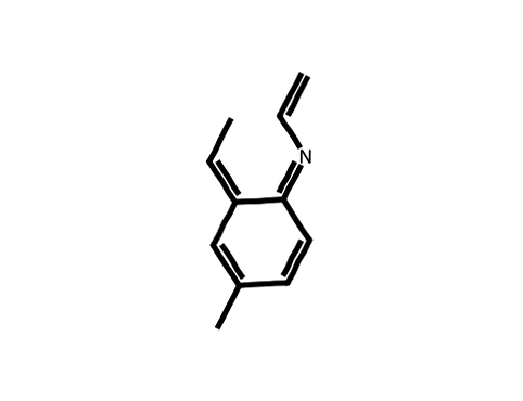 C=C/N=C1/C=CC(C)=C/C1=C/C